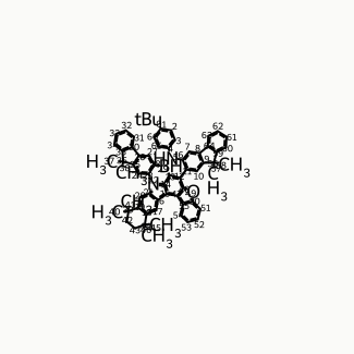 CC(C)(C)c1ccc(Nc2cc3c(cc2-c2c4c5c(c6cc7c(cc6n5-c5cc6c(cc5B4)-c4ccccc4C6(C)C)C(C)(C)CCC7(C)C)c4c2oc2ccccc24)C(C)(C)c2ccccc2-3)cc1